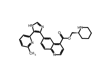 Cc1cccc(-c2[nH]cnc2-c2ccc3nccc(C(=O)OC[C@@H]4CCCCN4)c3c2)n1